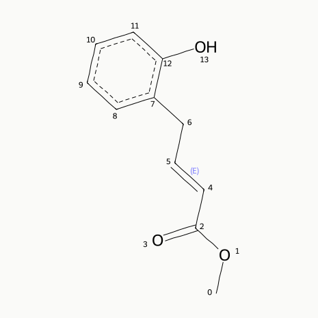 COC(=O)/C=C/Cc1ccccc1O